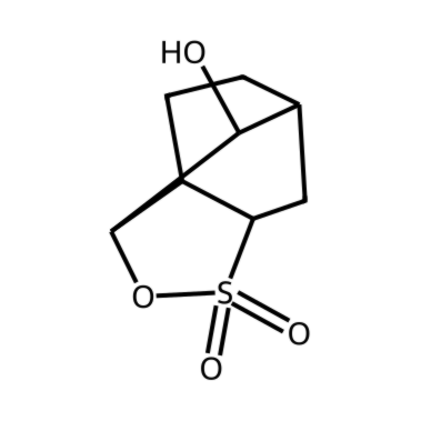 O=S1(=O)OC2C(O)C3CCC2C1C3